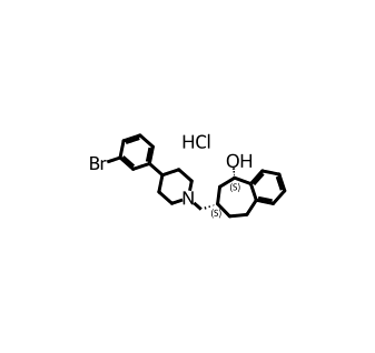 Cl.O[C@H]1C[C@@H](CN2CCC(c3cccc(Br)c3)CC2)CCc2ccccc21